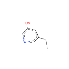 CCc1cncc(O)c1